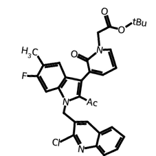 CC(=O)c1c(-c2cccn(CC(=O)OC(C)(C)C)c2=O)c2cc(C)c(F)cc2n1Cc1cc2ccccc2nc1Cl